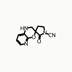 N#CN1CCC2(CNc3cccnc3O2)C1=O